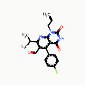 C=CCn1c(=O)[nH]c(=O)c2c(-c3ccc(F)cc3)c(C=O)c(C(C)C)nc21